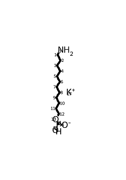 NCCCCCCCCCCCCO[PH](=O)[O-].[K+]